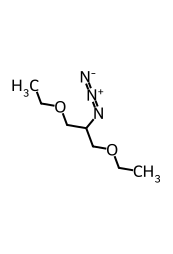 CCOCC(COCC)N=[N+]=[N-]